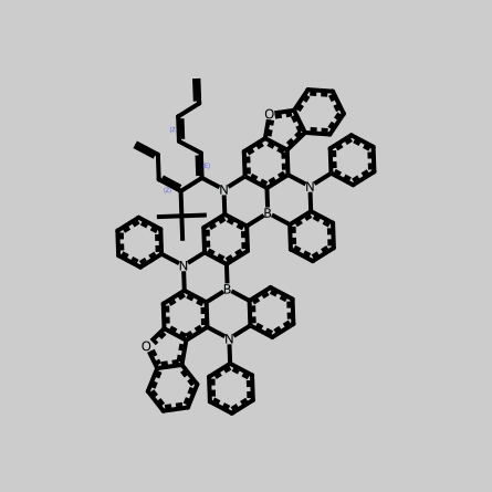 C=C\C=C/C=C(\C(=C/C=C)C(C)(C)C)N1c2cc3c(cc2B2c4ccccc4N(c4ccccc4)c4c2c1cc1oc2ccccc2c41)B1c2ccccc2N(c2ccccc2)c2c1c(cc1oc4ccccc4c21)N3c1ccccc1